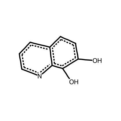 Oc1ccc2cccnc2c1O